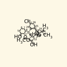 COc1c(O)cccc1C1SC(CC(=O)O)C(=O)N(CC(C)(C)C)c2ccc(Cl)cc21